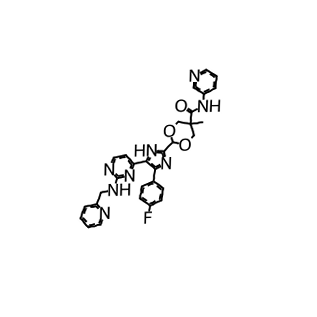 CC1(C(=O)Nc2cccnc2)COC(c2nc(-c3ccc(F)cc3)c(-c3ccnc(NCc4ccccn4)n3)[nH]2)OC1